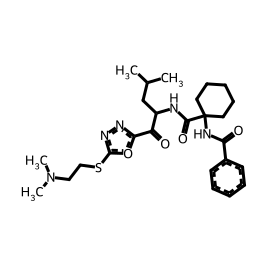 CC(C)CC(NC(=O)C1(NC(=O)c2ccccc2)CCCCC1)C(=O)c1nnc(SCCN(C)C)o1